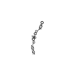 c1ccc(N2CCN(CCCOc3ccc(-c4nc5ccc(OCCCN6CCN(c7ccncc7)CC6)cc5o4)cc3)CC2)cc1